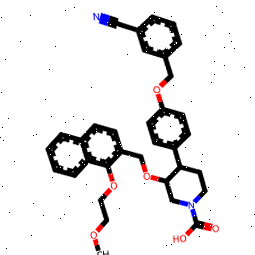 COCCOc1c(COC2CN(C(=O)O)CCC2c2ccc(OCc3cccc(C#N)c3)cc2)ccc2ccccc12